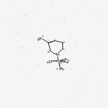 CC(C)C1CCCN(S(=O)(=O)C(C)C)C1